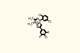 CN/C(C)=N\N(c1cc(Cl)ccc1Cl)n1cc(-c2cc(F)c(Cl)c(F)c2)nn1